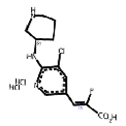 Cl.Cl.O=C(O)/C(F)=C/c1cnc(N[C@@H]2CCCNC2)c(Cl)c1